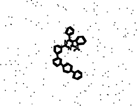 C[Si]1(C)c2ccccc2-c2c(-c3ccccc3)nc(-c3cccc(-c4cccc(-c5ccc(-c6ccccc6)cc5)c4)c3)nc21